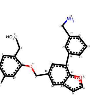 N#Cc1ccc(CC(=O)O)c(OCc2cc(-c3cccc(CN)c3)c3occc3c2)c1